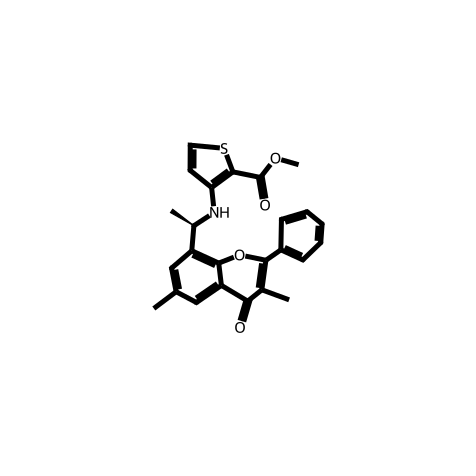 COC(=O)c1sccc1N[C@H](C)c1cc(C)cc2c(=O)c(C)c(-c3ccccc3)oc12